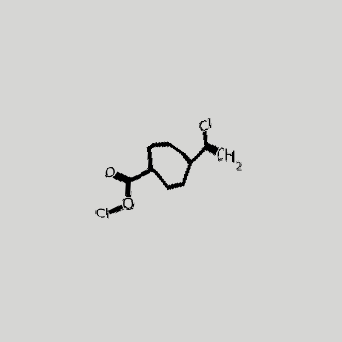 C=C(Cl)C1CCC(C(=O)OCl)CC1